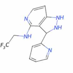 FC(F)(F)CNc1nccc2c1C(c1ccccn1)NN2